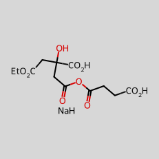 CCOC(=O)CC(O)(CC(=O)OC(=O)CCC(=O)O)C(=O)O.[NaH]